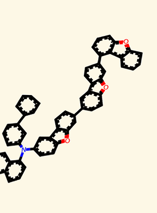 c1ccc(-c2cccc(N(c3ccc4oc5cc(-c6ccc7oc8cc(-c9cccc%10oc%11ccccc%11c9%10)ccc8c7c6)ccc5c4c3)c3cccc4ccccc34)c2)cc1